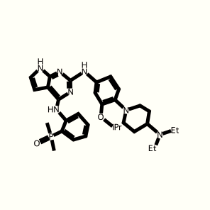 CCN(CC)C1CCN(c2ccc(Nc3nc(Nc4ccccc4P(C)(C)=O)c4cc[nH]c4n3)cc2OC(C)C)CC1